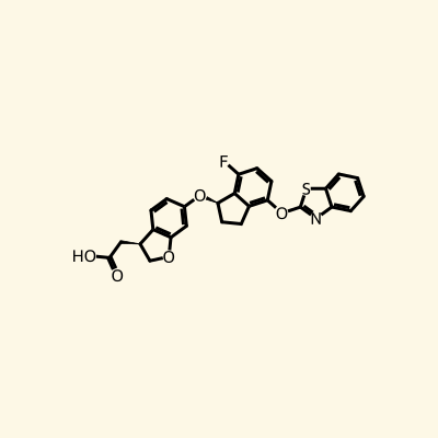 O=C(O)C[C@@H]1COc2cc(O[C@@H]3CCc4c(Oc5nc6ccccc6s5)ccc(F)c43)ccc21